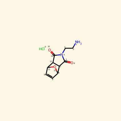 Cl.NCCN1C(=O)C2C3C=CC(O3)C2C1=O